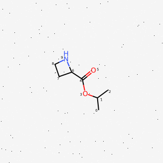 CC(C)OC(=O)C1CCN1